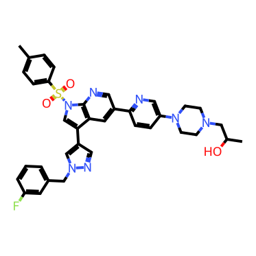 Cc1ccc(S(=O)(=O)n2cc(-c3cnn(Cc4cccc(F)c4)c3)c3cc(-c4ccc(N5CCN(CC(C)O)CC5)cn4)cnc32)cc1